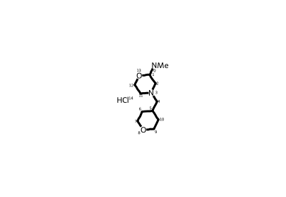 CNC1CN(CC2CCOCC2)CCO1.Cl